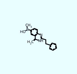 C=C1NC(CCc2ccccc2)=Nc2ccc(B(C)O)cc21